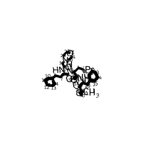 CC(C)CC(NC(=O)C(CCc1ccccc1)NC(=O)CN1CCOCC1)C(=O)NC(Cc1ccccc1)C(=O)C1(C)CO1